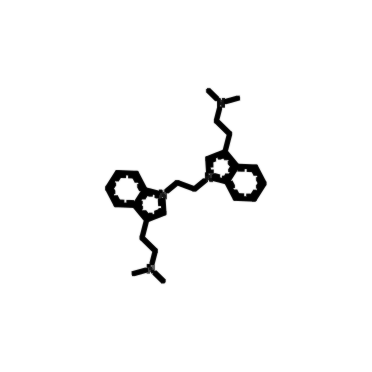 CN(C)CCc1cn(CCn2cc(CCN(C)C)c3ccccc32)c2ccccc12